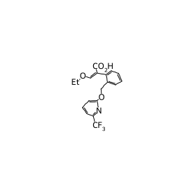 CCOC=C(C(=O)O)c1ccccc1COc1cccc(C(F)(F)F)n1